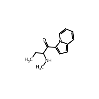 CCC(NC)C(=O)c1ccc2ccccn12